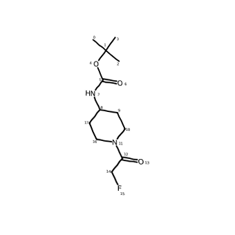 CC(C)(C)OC(=O)NC1CCN(C(=O)CF)CC1